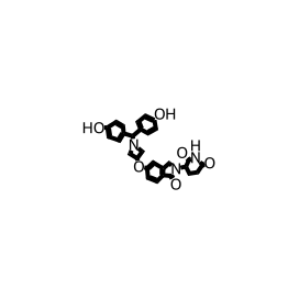 O=C1CCC(N2Cc3cc(OC4CN(C(c5ccc(O)cc5)c5ccc(O)cc5)C4)ccc3C2=O)C(=O)N1